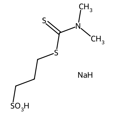 CN(C)C(=S)SCCCS(=O)(=O)O.[NaH]